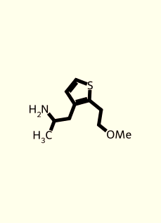 COCCc1sccc1CC(C)N